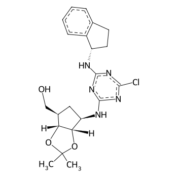 CC1(C)O[C@@H]2[C@@H](CO)C[C@@H](Nc3nc(Cl)nc(N[C@H]4CCc5ccccc54)n3)[C@@H]2O1